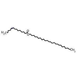 CCCC/C=C\CCCCCCCC(=O)OCCCCCCCCCCCCCCCCCCCCCCCCC